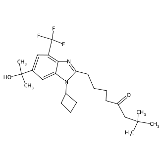 CC(C)(C)CC(=O)CCCCc1nc2c(C(F)(F)F)cc(C(C)(C)O)cc2n1C1CCC1